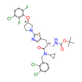 CC(C)(C)OC(=O)NC[C@@H](Cc1cnc(N2CC[C@@H](Oc3c(F)ccc(Cl)c3F)C2)s1)C(=O)N(Cc1cccc(Cl)c1Cl)C1CC1